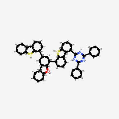 c1ccc(-c2nc(-c3ccccc3)nc(-c3cccc4sc5c(-c6cc(-c7cccc8c7sc7ccccc78)cc7c6oc6ccccc67)cccc5c34)n2)cc1